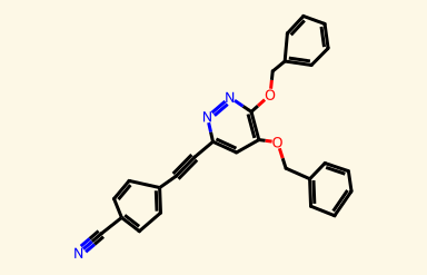 N#Cc1ccc(C#Cc2cc(OCc3ccccc3)c(OCc3ccccc3)nn2)cc1